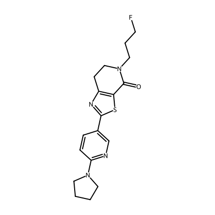 O=C1c2sc(-c3ccc(N4CCCC4)nc3)nc2CCN1CCCF